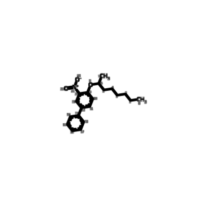 CCCCCCC(C)Oc1ccc(-c2ccccc2)cc1[N+](=O)[O-]